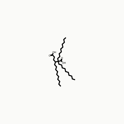 CCCCCCCCCCC(CCC(=O)O)C(CCCCCCCCCC)(CCCCCCCCCC)C(=O)O